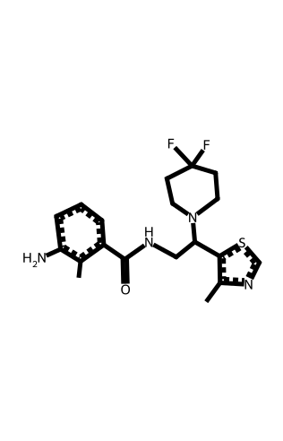 Cc1ncsc1C(CNC(=O)c1cccc(N)c1C)N1CCC(F)(F)CC1